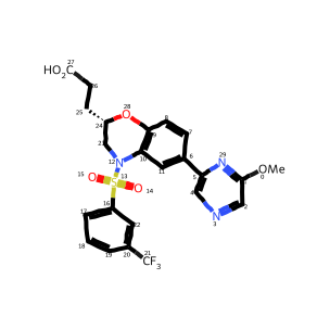 COc1cncc(-c2ccc3c(c2)N(S(=O)(=O)c2cccc(C(F)(F)F)c2)C[C@H](CCC(=O)O)O3)n1